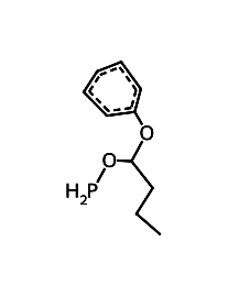 CCCC(OP)Oc1ccccc1